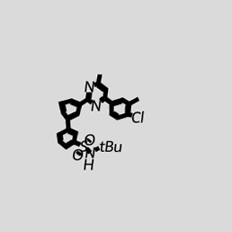 Cc1cc(-c2ccc(Cl)c(C)c2)nc(-c2cccc(-c3cccc(S(=O)(=O)NC(C)(C)C)c3)c2)n1